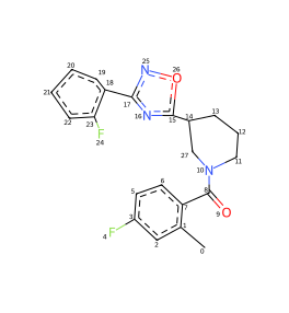 Cc1cc(F)ccc1C(=O)N1CCCC(c2nc(-c3ccccc3F)no2)C1